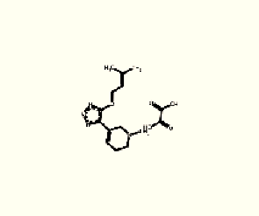 CC(C)=CCOc1nsnc1C1=CCCN(C)C1.O=C(O)C(=O)O